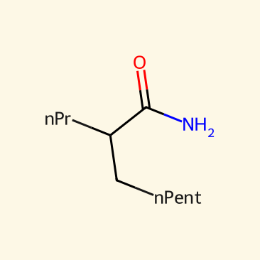 [CH2]CCC(CCCCCC)C(N)=O